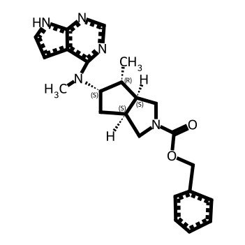 C[C@@H]1[C@H]2CN(C(=O)OCc3ccccc3)C[C@H]2C[C@@H]1N(C)c1ncnc2[nH]ccc12